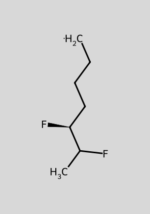 [CH2]CCC[C@H](F)C(C)F